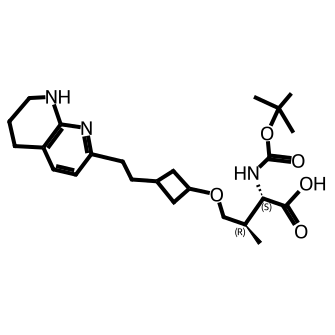 C[C@@H](COC1CC(CCc2ccc3c(n2)NCCC3)C1)[C@H](NC(=O)OC(C)(C)C)C(=O)O